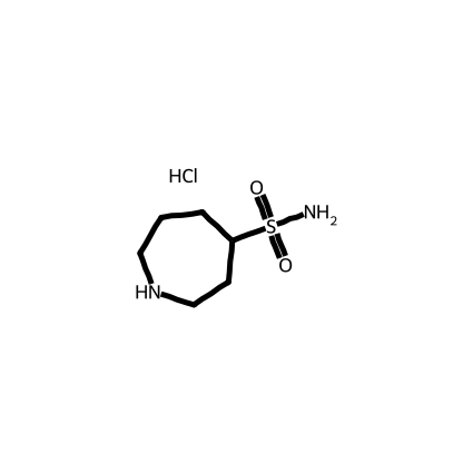 Cl.NS(=O)(=O)C1CCCNCC1